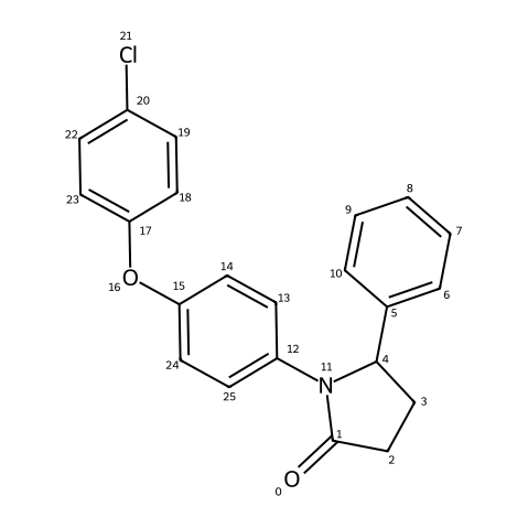 O=C1CCC(c2ccccc2)N1c1ccc(Oc2ccc(Cl)cc2)cc1